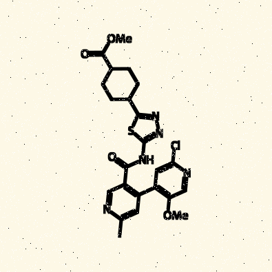 COC(=O)C1CCC(c2nnc(NC(=O)c3cnc(C)cc3-c3cc(Cl)ncc3OC)s2)CC1